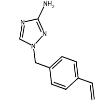 C=Cc1ccc(Cn2cnc(N)n2)cc1